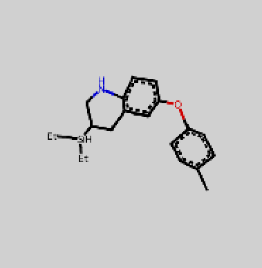 CC[SiH](CC)C1CNc2ccc(Oc3ccc(C)cc3)cc2C1